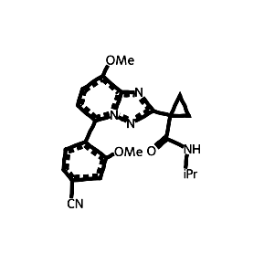 COc1cc(C#N)ccc1-c1ccc(OC)c2nc(C3(C(=O)NC(C)C)CC3)nn12